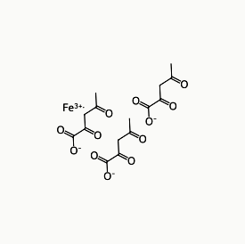 CC(=O)CC(=O)C(=O)[O-].CC(=O)CC(=O)C(=O)[O-].CC(=O)CC(=O)C(=O)[O-].[Fe+3]